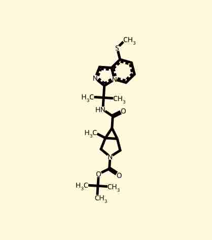 CSc1cccn2c(C(C)(C)NC(=O)C3C4CN(C(=O)OC(C)(C)C)CC43C)ncc12